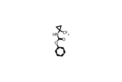 O=C(NC1(C(F)(F)F)CC1)Oc1ccccc1